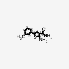 Cc1cccc(-c2cc(C(N)=O)c(N)s2)c1